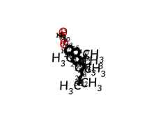 CCC1C2CC=C3C[C@@H](OC[C@H]4CO4)CC[C@]3(C)C2CC[C@]1(C)[C@H](C)C(C)CCCC(C)C